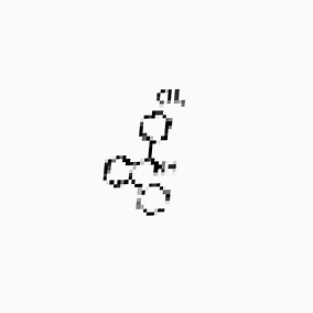 Cc1ccc(C(=N)c2ccccc2N2CCCCC2)cc1